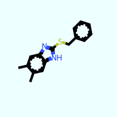 Cc1cc2nc(SCc3ccccc3)[nH]c2cc1C